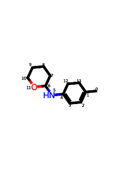 CC1=CC=C(NC2CCCCO2)CC1